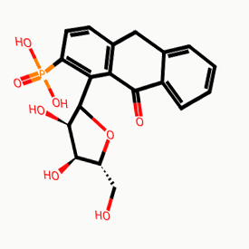 O=C1c2ccccc2Cc2ccc(P(=O)(O)O)c(C3O[C@H](CO)[C@@H](O)[C@H]3O)c21